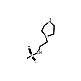 CS(=O)(=O)NCCN1CCNCC1